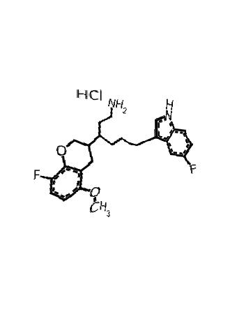 COc1ccc(F)c2c1CC(C(CCN)CCCc1c[nH]c3ccc(F)cc13)CO2.Cl